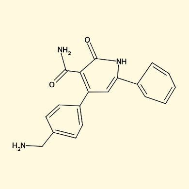 NCc1ccc(-c2cc(-c3ccccc3)[nH]c(=O)c2C(N)=O)cc1